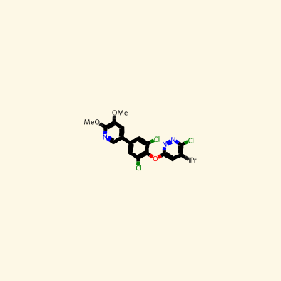 COc1cc(-c2cc(Cl)c(Oc3cc(C(C)C)c(Cl)nn3)c(Cl)c2)cnc1OC